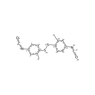 Cc1cc(N=C=O)ccc1SSc1ccc(N=C=O)cc1C